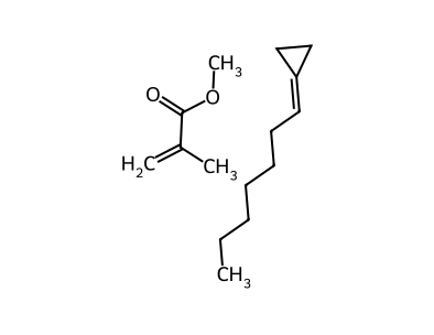 C=C(C)C(=O)OC.CCCCCCC=C1CC1